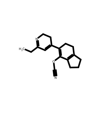 CCC1=NCCC(C2=C(OC#N)C3=C(CCC3)CC2)=C1